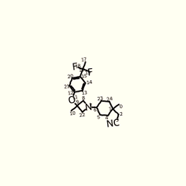 CC1(CC#N)CCC(N2CC(C)(Oc3ccc(C(C)(F)F)cc3)C2)CC1